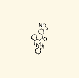 O=C(c1ccc([N+](=O)[O-])cc1)C(CNc1ccccc1I)c1ccccc1I